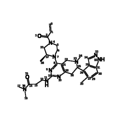 C=CC(=O)N1CCN(c2nc(NCCC(=O)N(C)C)nc3c2CN(C)C(c2c(C)ccc4[nH]ncc24)C3)[C@@H](C)C1